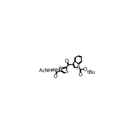 CC(=O)NNC(=O)c1csc(C(=O)c2cn(C(=O)OC(C)(C)C)c3ccccc23)n1